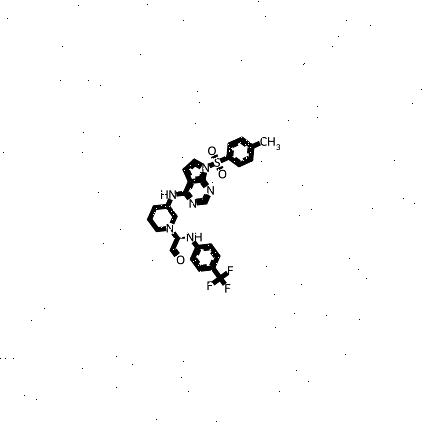 Cc1ccc(S(=O)(=O)n2ccc3c(NC4CCCN([C@@H](C=O)Nc5ccc(C(F)(F)F)cc5)C4)ncnc32)cc1